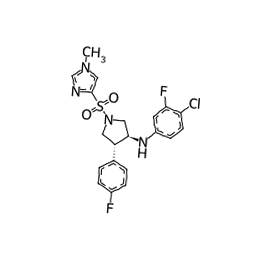 Cn1cnc(S(=O)(=O)N2C[C@@H](Nc3ccc(Cl)c(F)c3)[C@H](c3ccc(F)cc3)C2)c1